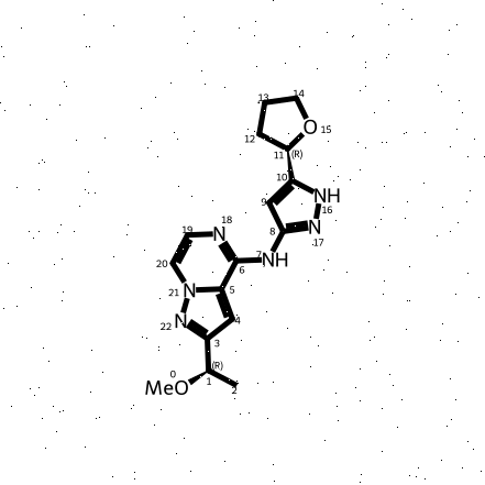 CO[C@H](C)c1cc2c(Nc3cc([C@H]4C[CH]CO4)[nH]n3)nccn2n1